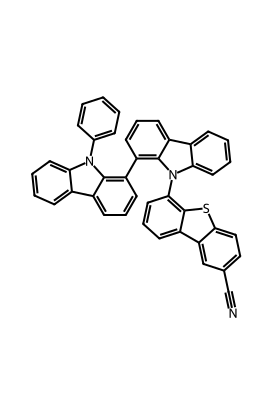 N#Cc1ccc2sc3c(-n4c5ccccc5c5cccc(-c6cccc7c8ccccc8n(-c8ccccc8)c67)c54)cccc3c2c1